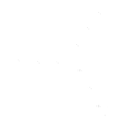 NCCCNCCCNCc1cc(CNCCCNCCCN)cc(CNCCCNCCCNC(=O)O)c1